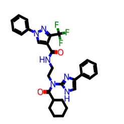 O=C(NCCN(C(=O)C1CCCCC1)c1nc(-c2ccccc2)c[nH]1)c1cn(-c2ccccc2)nc1C(F)(F)F